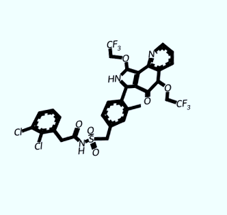 Cc1cc(CS(=O)(=O)NC(=O)Cc2cccc(Cl)c2Cl)ccc1C1NC(OCC(F)(F)F)C2=C1C(=O)C(OCC(F)(F)F)c1cccnc12